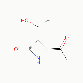 CC(=O)[C@H]1NC(=O)[C@@H]1[C@@H](C)O